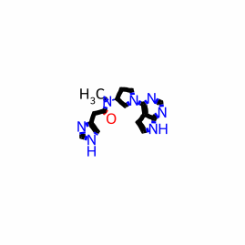 CN(C(=O)Cc1c[nH]cn1)[C@@H]1CCN(c2ncnc3[nH]ccc23)C1